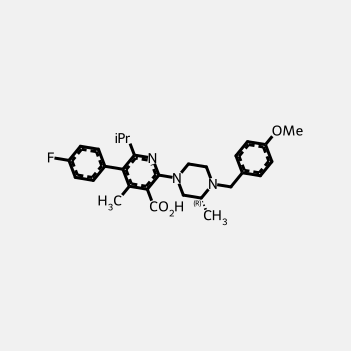 COc1ccc(CN2CCN(c3nc(C(C)C)c(-c4ccc(F)cc4)c(C)c3C(=O)O)C[C@H]2C)cc1